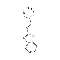 c1ccc(CSc2nc3ccccc3[nH]2)cc1